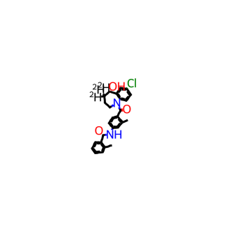 [2H]C1([2H])CCN(C(=O)c2ccc(NC(=O)c3ccccc3C)cc2C)c2ccc(Cl)cc2C1([2H])O